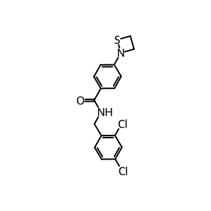 O=C(NCc1ccc(Cl)cc1Cl)c1ccc(N2CCS2)cc1